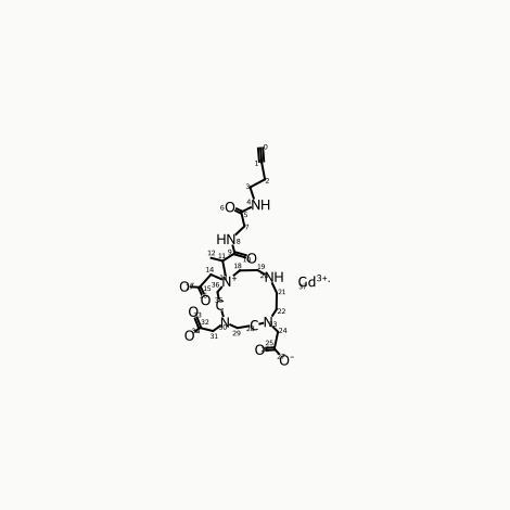 C#CCCNC(=O)CNC(=O)C(C)[N+]1(CC(=O)[O-])CCNCCN(CC(=O)[O-])CCN(CC(=O)[O-])CC1.[Gd+3]